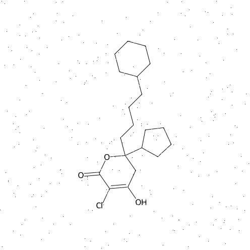 O=C1OC(CCCCC2CCCCC2)(C2CCCC2)CC(O)=C1Cl